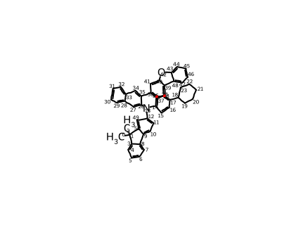 CC1(C)c2ccccc2-c2ccc(N(c3ccc(C4CCCCC4)cc3)c3cc4ccccc4cc3-c3ccc4c(c3)oc3ccccc34)cc21